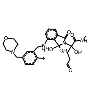 CNC(=O)C(O)(CCC=O)N1C(=O)c2cccc(NCc3cc(CN4CCOCC4)ccc3F)c2C1(O)O